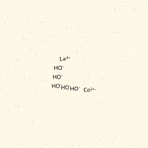 [Co+2].[La+3].[OH-].[OH-].[OH-].[OH-].[OH-]